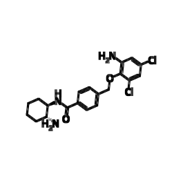 Nc1cc(Cl)cc(Cl)c1OCc1ccc(C(=O)N[C@@H]2CCCC[C@H]2N)cc1